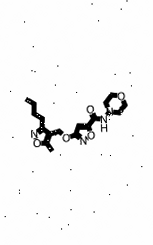 CCCCc1noc(C)c1COc1cc(C(=O)NN2CCOCC2)on1